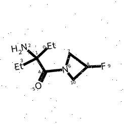 CCC(N)(CC)C(=O)N1CC(F)C1